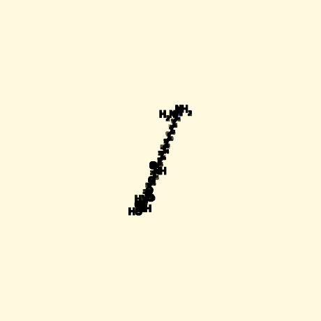 N/N=C(\N)CCCCCCCCCCCCCCCC(=O)NCCOCCOCC(=O)NCC(=O)NO